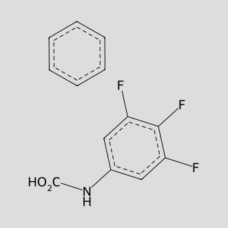 O=C(O)Nc1cc(F)c(F)c(F)c1.c1ccccc1